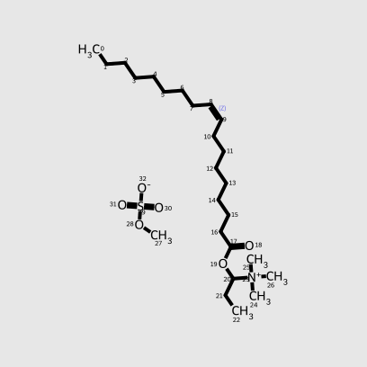 CCCCCCCC/C=C\CCCCCCCC(=O)OC(CC)[N+](C)(C)C.COS(=O)(=O)[O-]